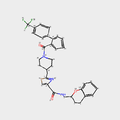 O=C(NCC1CCc2ccccc2O1)c1csc(C2CCN(C(=O)c3ccccc3-c3ccc(C(F)(F)F)cc3)CC2)n1